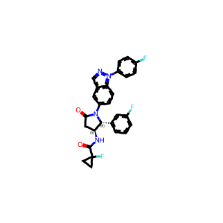 O=C1C[C@H](NC(=O)C2(F)CC2)[C@@H](c2cccc(F)c2)N1c1ccc2c(cnn2-c2ccc(F)cc2)c1